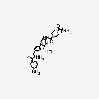 CC(C)(N)C(=O)N1CCN(C(=O)Nc2ccn(-c3ccc(CC(N)C(=O)N4CCCC(N)CC4)cc3)c(=O)n2)CC1.Cl